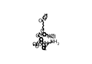 COC(=O)COc1cc(C(=O)N(C)c2ccc(C)cc2OCCCCCC(=O)N2CCN(C)CC2)ccc1NC(=O)c1ccccc1OCCCN.Cl.Cl